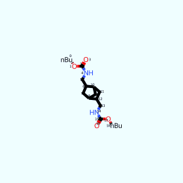 CCCCOC(=O)NCC1CC2CC1CC2CNC(=O)OCCCC